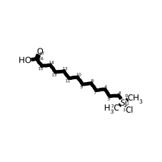 C[Si](C)(Cl)CCCCCCCCCCCCC(=O)O